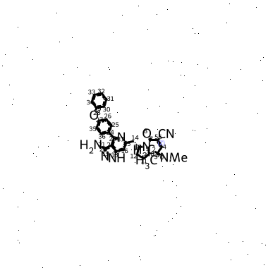 CNC(C)(C)/C=C(/C#N)C(=O)N1CCC[C@@H]1Cc1cc2[nH]nc(N)c2c(-c2ccc(Oc3ccccc3)cc2)n1